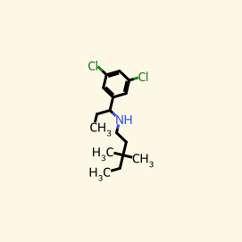 CCC(NCCC(C)(C)CC)c1cc(Cl)cc(Cl)c1